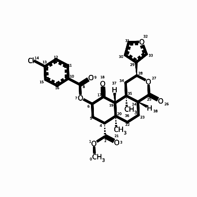 COC(=O)[C@@H]1CC(OC(=O)c2ccc(Cl)cc2)C(=O)[C@H]2[C@@]1(C)CC[C@H]1C(=O)O[C@H](c3ccoc3)C[C@]21C